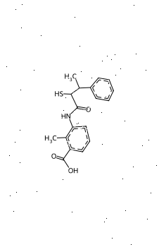 Cc1c(NC(=O)C(S)C(C)c2ccccc2)cccc1C(=O)O